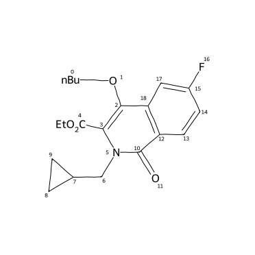 CCCCOc1c(C(=O)OCC)n(CC2CC2)c(=O)c2ccc(F)cc12